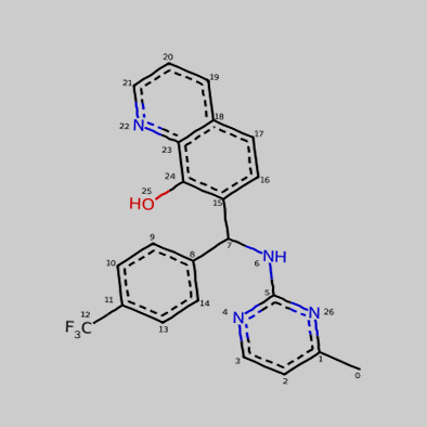 Cc1ccnc(NC(c2ccc(C(F)(F)F)cc2)c2ccc3cccnc3c2O)n1